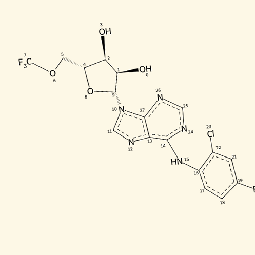 O[C@@H]1[C@H](O)[C@@H](COC(F)(F)F)O[C@H]1n1cnc2c(Nc3ccc(F)cc3Cl)ncnc21